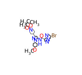 COc1ccc(-n2nc(C3CCN(C(=O)OC(C)(C)C)CC3)cc2NC(=O)c2cnn3cc(Br)cnc23)cc1